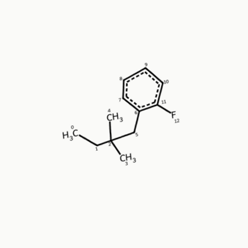 CCC(C)(C)Cc1ccccc1F